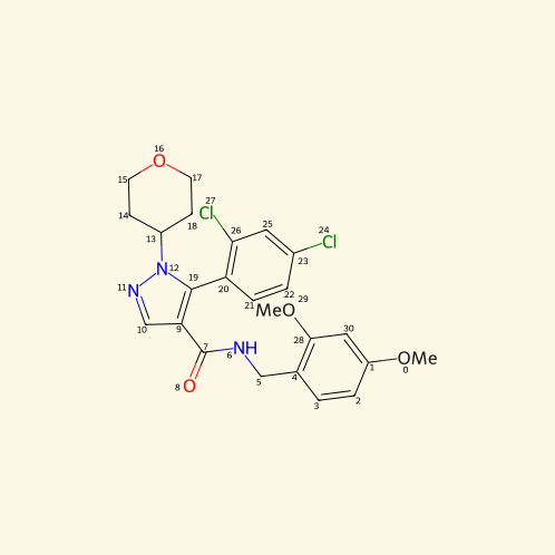 COc1ccc(CNC(=O)c2cnn(C3CCOCC3)c2-c2ccc(Cl)cc2Cl)c(OC)c1